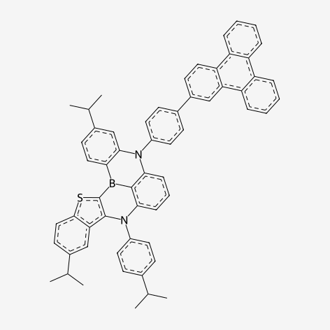 CC(C)c1ccc(N2c3cccc4c3B(c3ccc(C(C)C)cc3N4c3ccc(-c4ccc5c6ccccc6c6ccccc6c5c4)cc3)c3sc4ccc(C(C)C)cc4c32)cc1